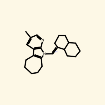 Cc1cnc2c(c1)c1c(n2/C=C2\CCCC3CCCCC23)CCCCC1